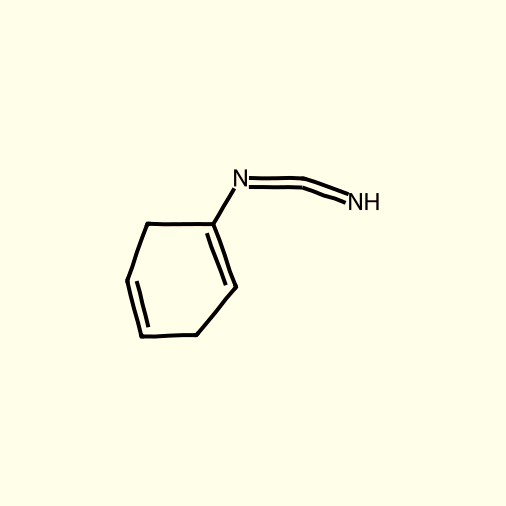 N=C=NC1=CCC=CC1